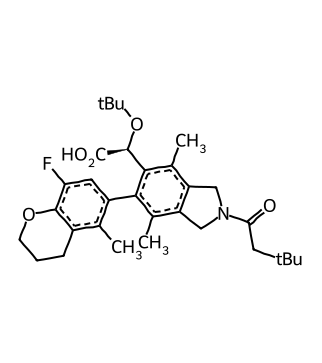 Cc1c(-c2c(C)c3c(c(C)c2[C@H](OC(C)(C)C)C(=O)O)CN(C(=O)CC(C)(C)C)C3)cc(F)c2c1CCCO2